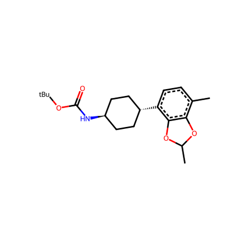 Cc1ccc([C@H]2CC[C@H](NC(=O)OC(C)(C)C)CC2)c2c1OC(C)O2